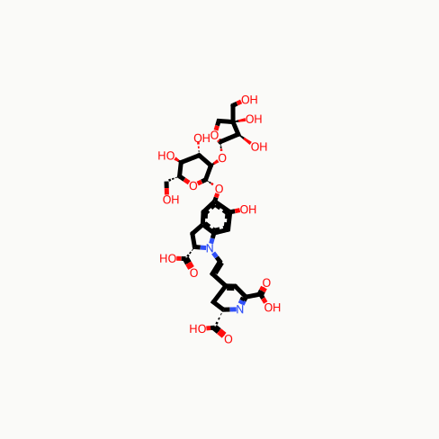 O=C(O)C1=N[C@H](C(=O)O)CC(/C=C/N2c3cc(O)c(O[C@@H]4O[C@H](CO)[C@@H](O)[C@H](O)[C@H]4O[C@@H]4OC[C@](O)(CO)[C@H]4O)cc3C[C@H]2C(=O)O)=C1